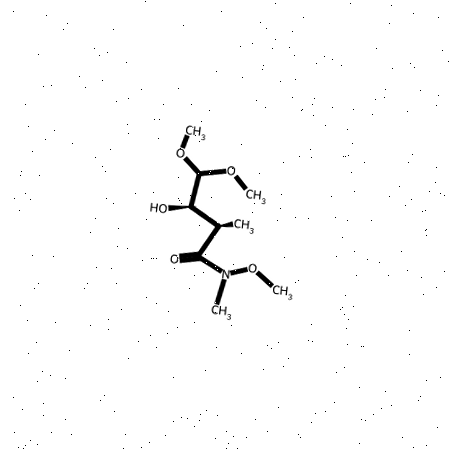 COC(OC)[C@H](O)[C@@H](C)C(=O)N(C)OC